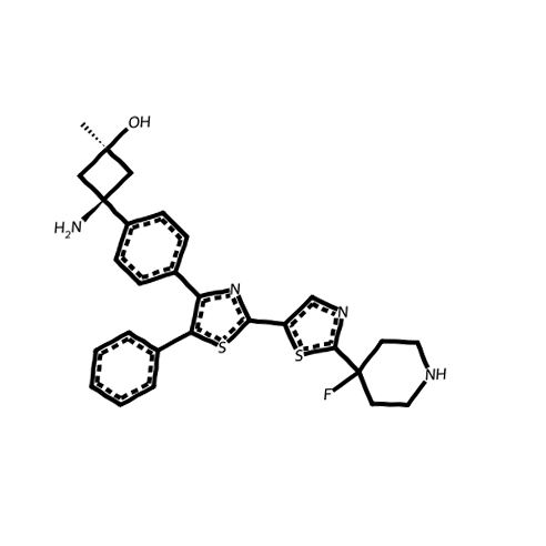 C[C@]1(O)C[C@](N)(c2ccc(-c3nc(-c4cnc(C5(F)CCNCC5)s4)sc3-c3ccccc3)cc2)C1